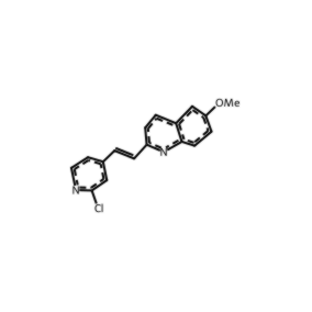 COc1ccc2nc(/C=C/c3ccnc(Cl)c3)ccc2c1